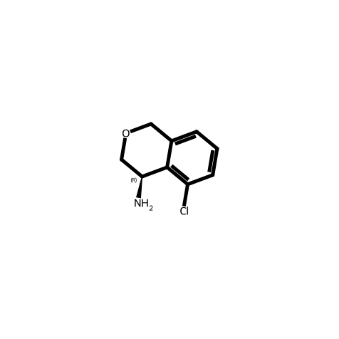 N[C@H]1COCc2cccc(Cl)c21